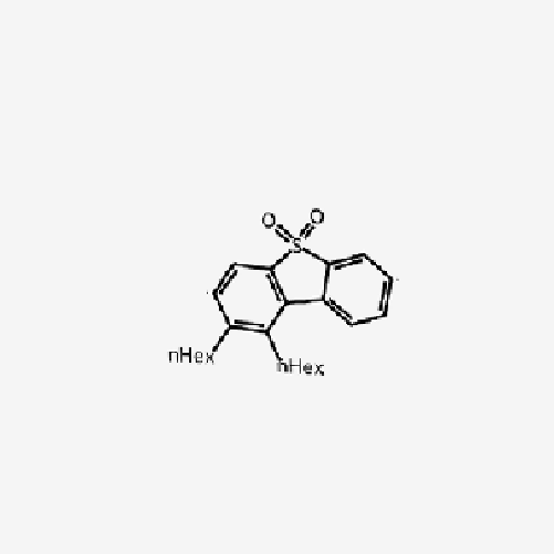 CCCCCCc1[c]cc2c(c1CCCCCC)-c1cc[c]cc1S2(=O)=O